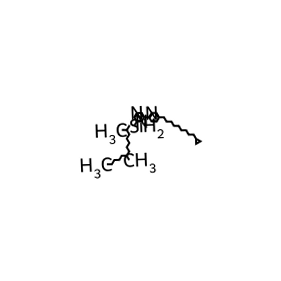 CCCCCC(C)CCCCCC(C)C[SiH2]c1cncc(-c2ccc(CCCCCCCCCC3CC3)cn2)n1